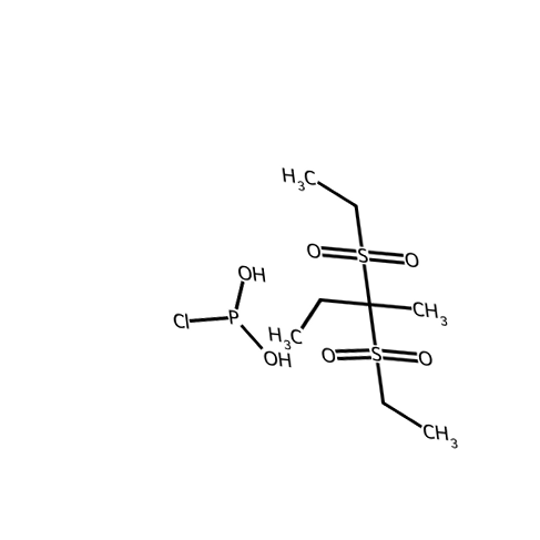 CCC(C)(S(=O)(=O)CC)S(=O)(=O)CC.OP(O)Cl